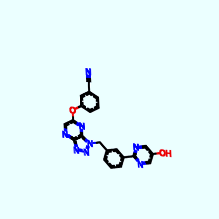 N#Cc1cccc(Oc2cnc3nnn(Cc4cccc(-c5ncc(O)cn5)c4)c3n2)c1